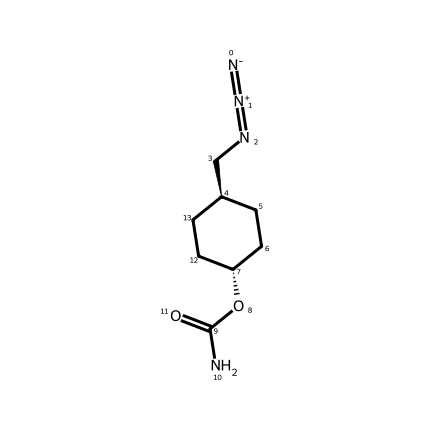 [N-]=[N+]=NC[C@H]1CC[C@H](OC(N)=O)CC1